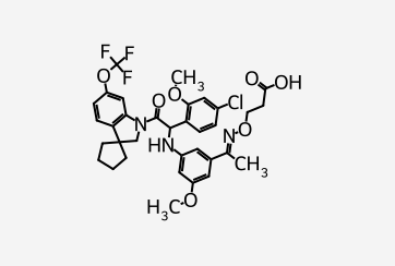 COc1cc(NC(C(=O)N2CC3(CCCC3)c3ccc(OC(F)(F)F)cc32)c2ccc(Cl)cc2OC)cc(C(C)=NOCCC(=O)O)c1